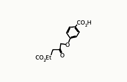 CCOC(=O)CC(=O)COc1ccc(C(=O)O)cc1